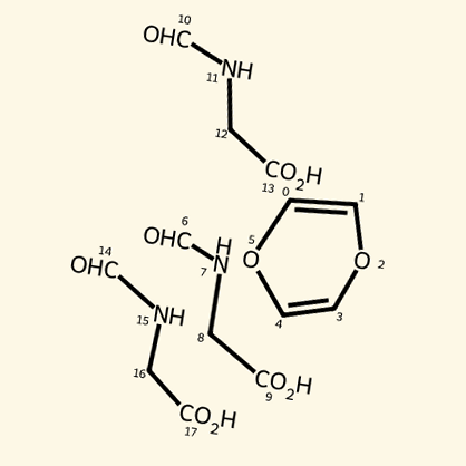 C1=COC=CO1.O=CNCC(=O)O.O=CNCC(=O)O.O=CNCC(=O)O